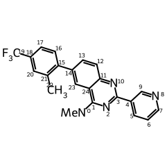 CNc1nc(-c2cccnc2)nc2ccc(-c3ccc(C(F)(F)F)cc3C)cc12